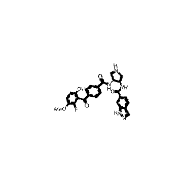 COc1ccc(O)c(C(=O)c2ccc(C(=O)N[C@@H]3CNC[C@H]3NC(=O)c3ccc4cn[nH]c4c3)cc2)c1F